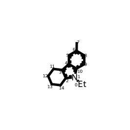 CCn1c2c(c3cc(C)ccc31)CCCC2